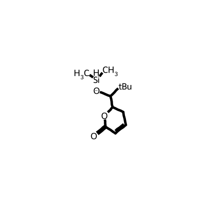 C[SiH](C)OC(C1CC=CC(=O)O1)C(C)(C)C